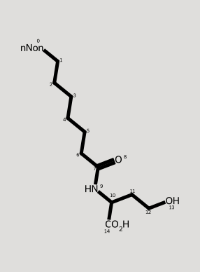 CCCCCCCCCCCCCCCC(=O)NC(CCO)C(=O)O